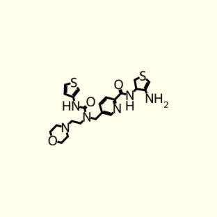 NC1=CSCC1NC(=O)c1ccc(CN(CCN2CCOCC2)C(=O)Nc2ccsc2)cn1